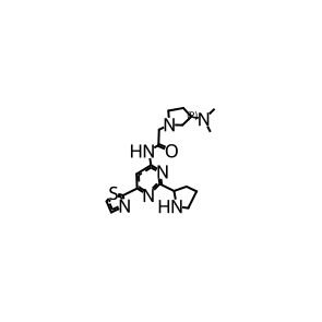 CN(C)[C@@H]1CCN(CC(=O)Nc2cc(-c3nccs3)nc(C3CCCN3)n2)C1